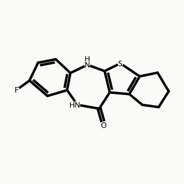 O=C1Nc2cc(F)ccc2Nc2sc3c(c21)CCCC3